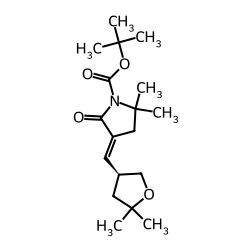 CC(C)(C)OC(=O)N1C(=O)/C(=C/[C@H]2COC(C)(C)C2)CC1(C)C